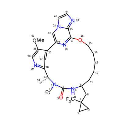 CCN1C(=O)NC(CC2(C(F)(F)F)CC2)CCCCCOc2nc(cn3ccnc23)-c2cc(ncc2OC)[C@H]1C